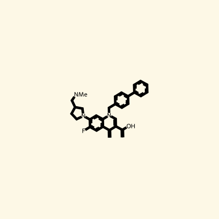 C=C(O)C1=CN(Cc2ccc(-c3ccccc3)cc2)c2cc(N3CCC(CNC)C3)c(F)cc2C1=C